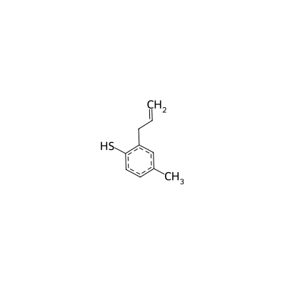 C=CCc1cc(C)ccc1S